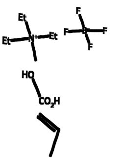 C=CC.CC[N+](C)(CC)CC.F[B-](F)(F)F.O=C(O)O